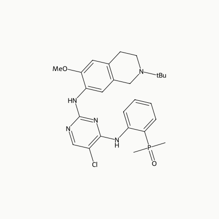 COc1cc2c(cc1Nc1ncc(Cl)c(Nc3ccccc3P(C)(C)=O)n1)CN(C(C)(C)C)CC2